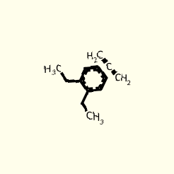 C=C=C.CCc1ccccc1CC